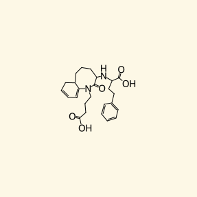 O=C(O)CCCN1C(=O)C(NC(CCc2ccccc2)C(=O)O)CCCC2CC=CC=C21